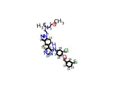 COCCN(C)CCn1ncc2c1CCc1c-2sc2ncnc(Nc3ccc(OCc4cccc(F)c4)c(Cl)c3)c12